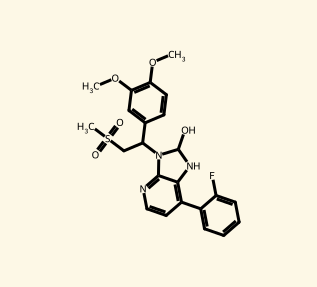 COc1ccc(C(CS(C)(=O)=O)N2c3nccc(-c4ccccc4F)c3NC2O)cc1OC